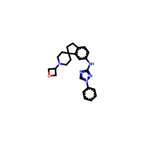 c1ccc(-n2cnc(Nc3ccc4c(c3)C3(CC4)CCN(C4COC4)CC3)n2)cc1